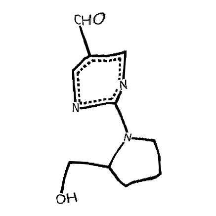 O=Cc1cnc(N2CCCC2CO)nc1